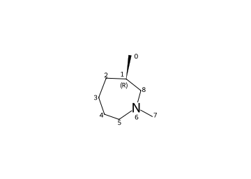 C[C@@H]1CCCCN(C)C1